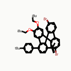 C=C(C)c1ccc(-c2ccc(C(C)(C)C)cc2)c2c1C1(c3cc(Br)ccc3-c3ccc(Br)cc31)c1cc(OCC(C)CC)c(OCC(C)CC)cc1-2